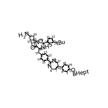 CCCCCCCOc1ccc(C2=CCN=C(c3ccc(C[C@H](NC(=O)c4ccc(C(C)(C)C)s4)C(=O)N[C@H]4C[C@H](N)C4)cc3)N=C2)cc1